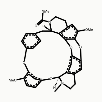 CNC(=O)N1CCc2cc(OC)c3c4c2[C@@H]1Cc1ccc(cc1)Oc1cc(ccc1OC)C[C@H]1c2cc(c(cc2CCN1C)O3)O4